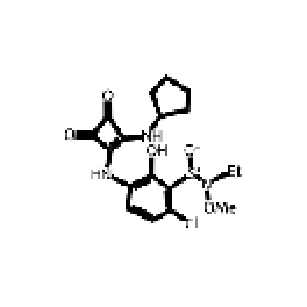 CCN(OC)[S+]([O-])c1c(Cl)ccc(Nc2c(NC3CCCC3)c(=O)c2=O)c1O